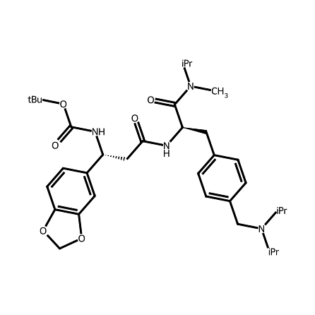 CC(C)N(C)C(=O)[C@@H](Cc1ccc(CN(C(C)C)C(C)C)cc1)NC(=O)C[C@@H](NC(=O)OC(C)(C)C)c1ccc2c(c1)OCO2